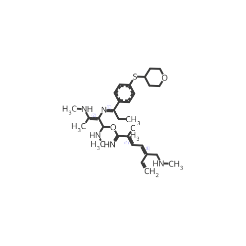 C=C/C(=C\C=C(/C)C(=N)OC(NC)C(/N=C(\CC)c1ccc(SC2CCOCC2)cc1)=C(\C)NC)CNC